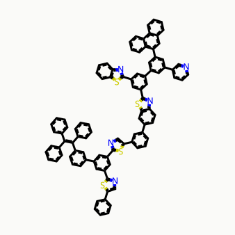 c1ccc(C(=C(c2ccccc2)c2cccc(-c3cc(-c4ncc(-c5ccccc5)s4)cc(-c4ncc(-c5cccc(-c6ccc7nc(-c8cc(-c9cc(-c%10cccnc%10)cc(-c%10cc%11ccccc%11c%11ccccc%10%11)c9)cc(-c9nc%10ccccc%10s9)c8)sc7c6)c5)s4)c3)c2)c2ccccc2)cc1